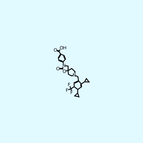 O=C(O)c1ccc(N2CC3(CCN(CC4=CC(C(F)(F)F)C(C5CC5)C=C4C4CC4)CC3)OC2=O)cc1